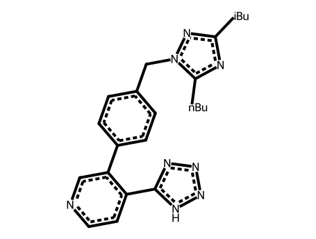 CCCCc1nc(C(C)CC)nn1Cc1ccc(-c2cnccc2-c2nnn[nH]2)cc1